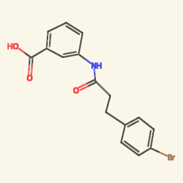 O=C(CCc1ccc(Br)cc1)Nc1cccc(C(=O)O)c1